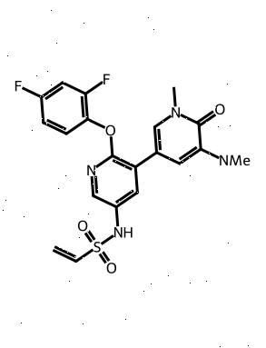 C=CS(=O)(=O)Nc1cnc(Oc2ccc(F)cc2F)c(-c2cc(NC)c(=O)n(C)c2)c1